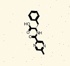 Cc1cnc(C(=O)N[C@@H](Cc2ccccc2)C(=O)O)cn1